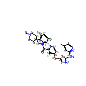 Cc1ccnc(Nc2ncc(Sc3ccnc(C(=O)NCC4(c5ccc(F)cc5F)CCN(C)CC4)c3F)s2)c1